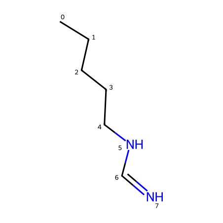 CCCCCNC=N